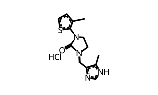 Cc1ccsc1N1CCN(Cc2nc[nH]c2C)C1=O.Cl